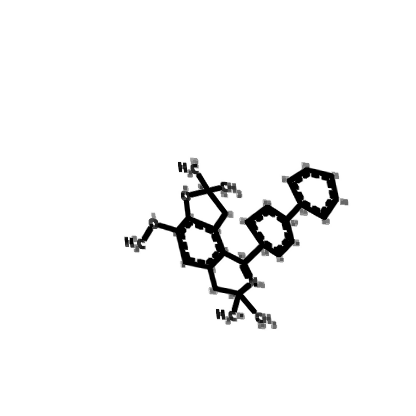 COc1cc2c(c3c1OC(C)(C)C3)C(c1ccc(-c3ccccc3)cc1)=NC(C)(C)C2